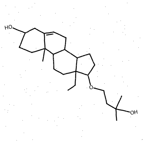 CCC12CCC3C(CC=C4CC(O)CCC43C)C1CCC2OCCC(C)(C)O